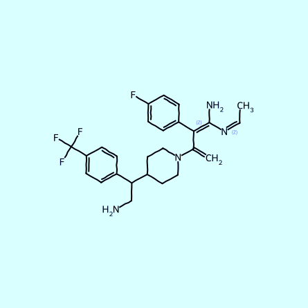 C=C(/C(=C(N)\N=C/C)c1ccc(F)cc1)N1CCC(C(CN)c2ccc(C(F)(F)F)cc2)CC1